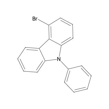 Brc1cccc2c1c1ccccc1n2-c1ccccc1